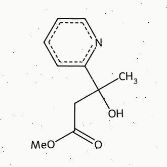 COC(=O)CC(C)(O)c1ccccn1